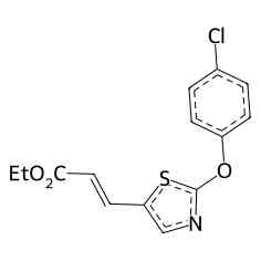 CCOC(=O)C=Cc1cnc(Oc2ccc(Cl)cc2)s1